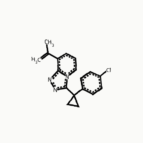 C=C(C)c1cccn2c(C3(c4ccc(Cl)cc4)CC3)nnc12